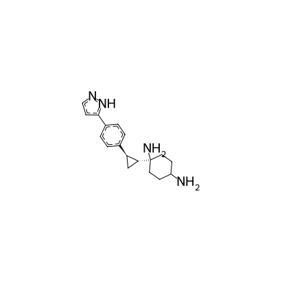 NC1CCC(N)([C@@H]2C[C@H]2c2ccc(-c3ccn[nH]3)cc2)CC1